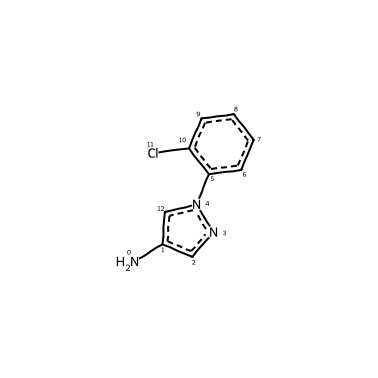 Nc1cnn(-c2ccccc2Cl)c1